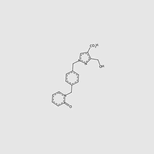 O=C(O)c1cn(Cc2ccc(Cn3ccccc3=O)cc2)nc1CO